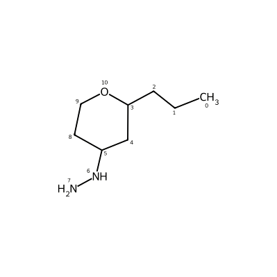 CCCC1CC(NN)CCO1